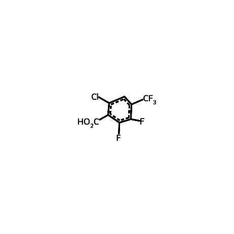 O=C(O)c1c(Cl)cc(C(F)(F)F)c(F)c1F